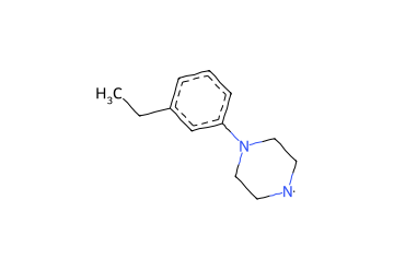 CCc1cccc(N2CC[N]CC2)c1